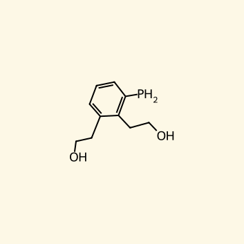 OCCc1cccc(P)c1CCO